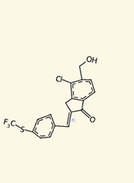 O=C1/C(=C/c2ccc(SC(F)(F)F)cc2)Cc2c1ccc(CO)c2Cl